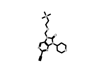 C#Cc1ncc2c(n1)n(C1CCOCC1)c(=O)n2COCC[Si](C)(C)C